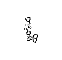 C=CC(N1CCCC2CCCCC21)S(=O)(=O)c1ccc(NC(=O)NCc2cccnc2)cc1